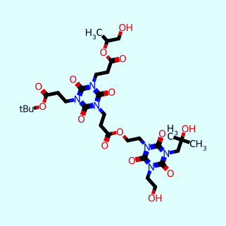 CC(CO)OC(=O)CCn1c(=O)n(CCC(=O)OCCn2c(=O)n(CCO)c(=O)n(CC(C)(C)O)c2=O)c(=O)n(CCC(=O)OC(C)(C)C)c1=O